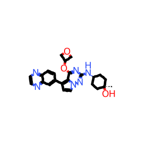 C[C@]1(O)CC[C@H](Nc2nc(OC3COC3)c3c(-c4ccc5nccnc5c4)ccn3n2)CC1